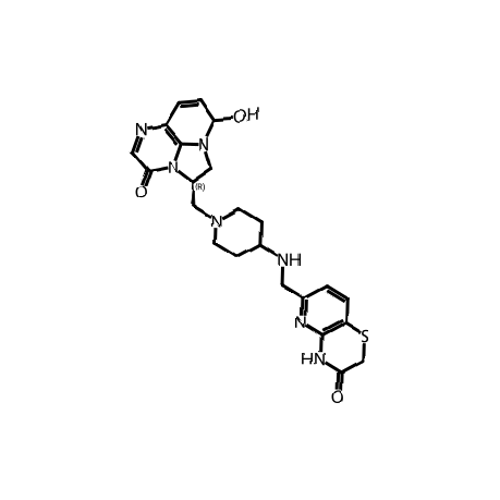 O=C1CSc2ccc(CNC3CCN(C[C@@H]4CN5c6c(ncc(=O)n64)C=CC5O)CC3)nc2N1